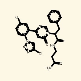 NC(=O)CCNC(=O)C(Cc1ccccc1)n1cnc(-c2cc(Cl)ccc2-n2cc(Cl)nn2)cc1=O